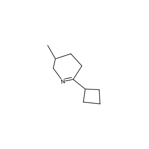 CC1CCC(C2CCC2)=NC1